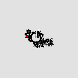 CCn1c(-c2cccnc2C(C)C)c2c3cc(ccc31)-c1cc(O)cc(c1)C[C@H](NC(=O)[C@H](C(C)C)N(C)C(=O)[C@@H]1CCN(C(=O)[C@@H]3CN3)C1)C(=O)N1CCC[C@H](N1)C(=O)OCC(C)(C)C2